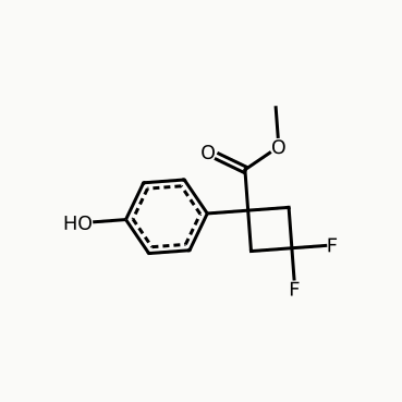 COC(=O)C1(c2ccc(O)cc2)CC(F)(F)C1